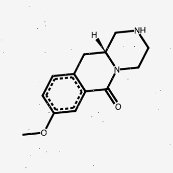 COc1ccc2c(c1)C(=O)N1CCNC[C@H]1C2